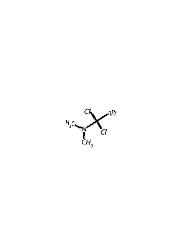 CCCC(Cl)(Cl)N(C)C